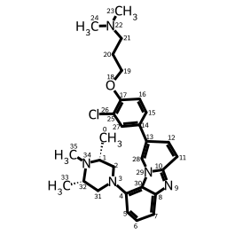 C[C@@H]1CN(c2cccc3nc4ccc(-c5ccc(OCCCN(C)C)c(Cl)c5)cn4c23)C[C@H](C)N1C